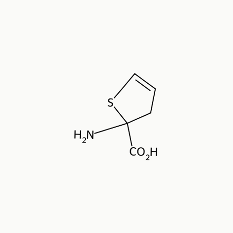 NC1(C(=O)O)CC=CS1